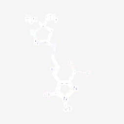 CC(C)n1nc(C(F)F)c(/C=C/CSC2=NOC(C)(C)C2)c1Cl